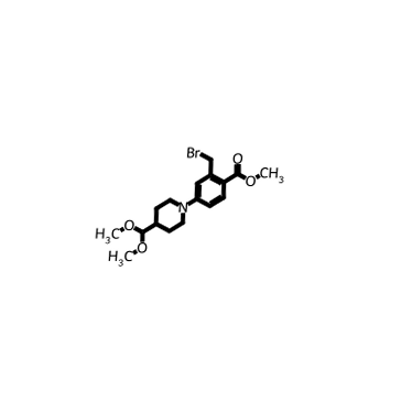 COC(=O)c1ccc(N2CCC(C(OC)OC)CC2)cc1CBr